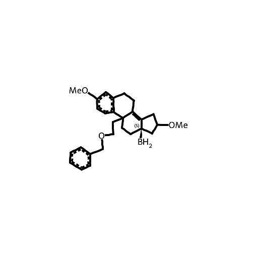 B[C@@]12CCC3(CCOCc4ccccc4)C(=C1CC(OC)C2)CCc1cc(OC)ccc13